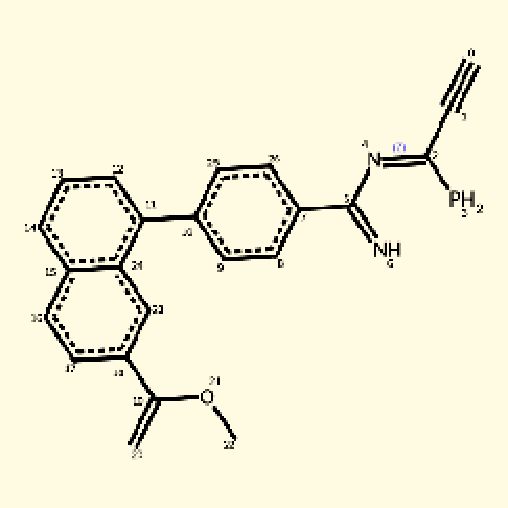 C#C/C(P)=N/C(=N)c1ccc(-c2cccc3ccc(C(=C)OC)cc23)cc1